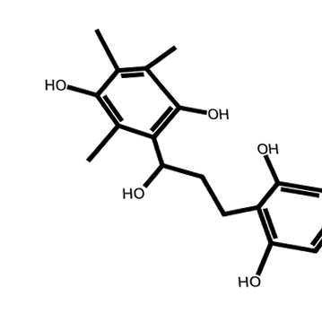 Cc1c(C)c(O)c(C(O)CCc2c(O)cccc2O)c(C)c1O